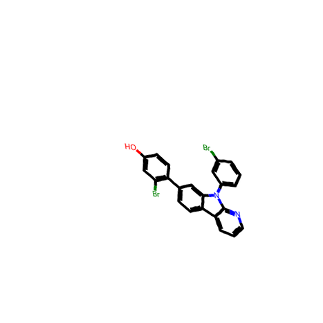 Oc1ccc(-c2ccc3c4cccnc4n(-c4cccc(Br)c4)c3c2)c(Br)c1